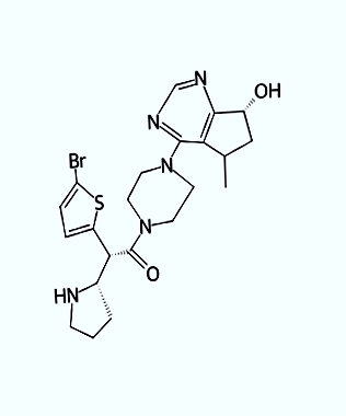 CC1C[C@@H](O)c2ncnc(N3CCN(C(=O)[C@@H](c4ccc(Br)s4)[C@@H]4CCCN4)CC3)c21